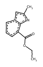 CCOC(=O)c1cccn2cc(C)nc12